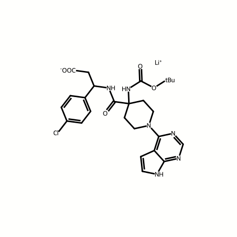 CC(C)(C)OC(=O)NC1(C(=O)NC(CC(=O)[O-])c2ccc(Cl)cc2)CCN(c2ncnc3[nH]ccc23)CC1.[Li+]